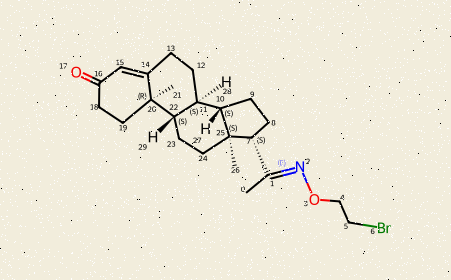 C/C(=N\OCCBr)[C@H]1CC[C@H]2[C@@H]3CCC4=CC(=O)CC[C@]4(C)[C@H]3CC[C@]12C